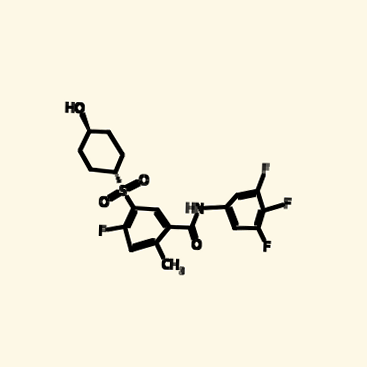 Cc1cc(F)c(S(=O)(=O)[C@H]2CC[C@H](O)CC2)cc1C(=O)Nc1cc(F)c(F)c(F)c1